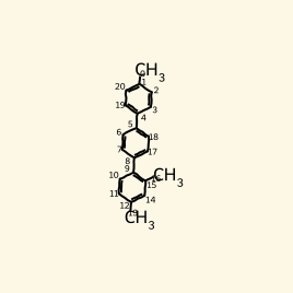 Cc1ccc(-c2ccc(-c3ccc(C)cc3C)cc2)cc1